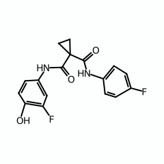 O=C(Nc1ccc(F)cc1)C1(C(=O)Nc2ccc(O)c(F)c2)CC1